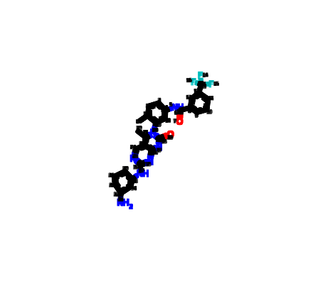 Cc1ccc(NC(=O)c2cccc(C(F)(F)F)c2)cc1-n1c(C)c2cnc(Nc3cccc(N)c3)nc2nc1=O